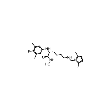 Cc1cc(N[C@H](CCCCNCn2c(C)ccc2C)C(=O)NO)cc(C)c1F